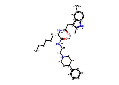 COc1ccc2[nH]c(C)c(CC(=O)N[C@@H](CCCCCC(C)=O)C(=O)NCCN3CCC(c4ccccc4)CC3)c2c1